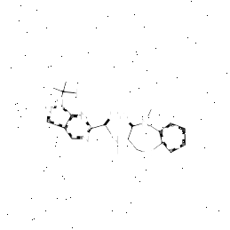 CN1C(=O)[C@@H](NC(=O)c2ncc3cnn(C(F)(F)F)c3n2)COc2ccccc21